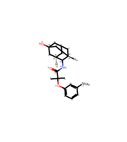 CC(=O)Nc1cccc(OC(C)(C)C(=O)NC2[C@@H]3CC4C[C@H]2CC(O)(C4)C3)c1